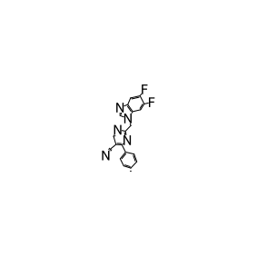 N#Cc1cnc(Cn2cnc3cc(F)c(F)cc32)nc1-c1cc[c]cc1